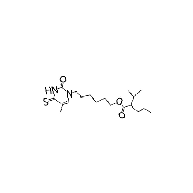 CCCC(C(=O)OCCCCCCn1cc(C)c(=S)[nH]c1=O)C(C)C